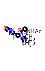 CC(=O)Nc1cccc(C(=O)Nc2cc(-c3cnc(N4CCOCC4)nc3)c(F)cc2N2CC(C)N(C)C(C)C2)c1